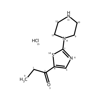 CCC(=O)c1cnc(N2CCNCC2)s1.Cl